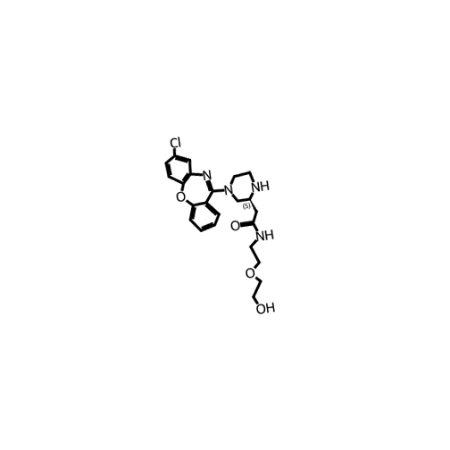 O=C(C[C@H]1CN(C2=Nc3cc(Cl)ccc3Oc3ccccc32)CCN1)NCCOCCO